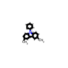 Cc1ccc2c(c1)c1cc(C)ccc1n2-c1ccccc1